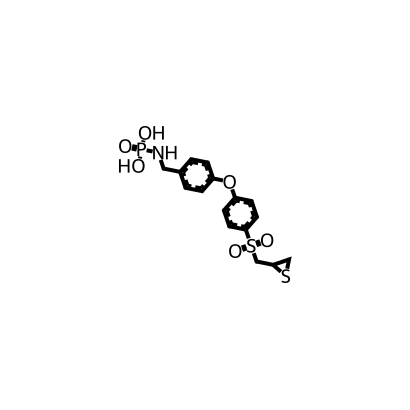 O=P(O)(O)NCc1ccc(Oc2ccc(S(=O)(=O)CC3CS3)cc2)cc1